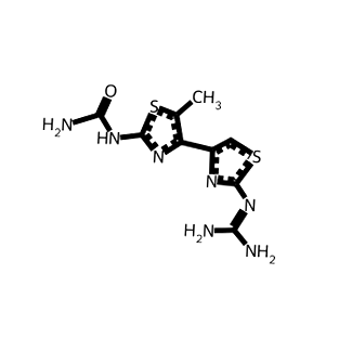 Cc1sc(NC(N)=O)nc1-c1csc(N=C(N)N)n1